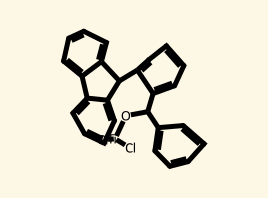 [Cl][Ti]([Cl])[O]C(c1ccccc1)c1ccccc1C1c2ccccc2-c2ccccc21